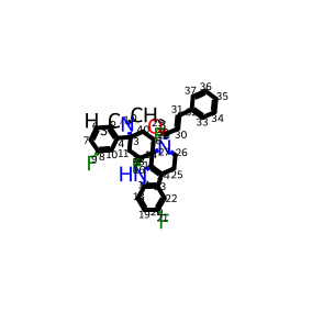 CN(C)C1(c2cccc(F)c2)CC(F)C2(c3[nH]c4ccc(F)cc4c3CCN2C(=O)C=Cc2ccccc2)C(F)C1